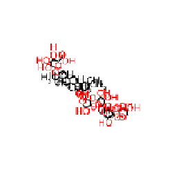 C[C@@H]1O[C@@H](O[C@H]2[C@H](OC(=O)[C@]34CCC(C)(C)C[C@H]3C3=CC[C@@H]5[C@@]6(C)CC[C@H](O[C@@H]7O[C@H](C(=O)O)[C@@H](O)[C@H](O)[C@H]7O)C(C)(C)[C@@H]6CC[C@@]5(C)[C@]3(C)C[C@H]4O)OC[C@H](O)[C@@H]2O)[C@H](O)[C@H](O)[C@H]1O[C@@H]1OC[C@@H](O)[C@H](O[C@@H]2OC[C@@H](O)[C@H](O)[C@H]2O)[C@H]1O